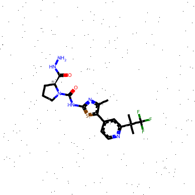 Cc1nc(NC(=O)N2CCC[C@H]2C(=O)NN)sc1-c1ccnc(C(C)(C)C(F)(F)F)c1